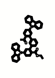 CCOC(=O)c1ccc(-n2c3ccccc3c3ccccc32)cc1-c1cccc(-c2cc(-n3c4ccccc4c4ccccc43)ccc2C(C)=O)c1